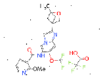 COc1ncccc1C(=O)Nc1cn2cc(C34COC(C)(C3)C4)nc2cc1OC(F)F.O=C(O)C(F)(F)F